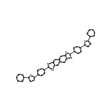 c1ccc(-c2ccc(-c3ccc(-c4nc5cc6cc7oc(-c8ccc(-c9ccc(-c%10ccccc%10)s9)cc8)nc7cc6cc5o4)cc3)s2)cc1